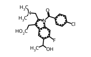 CC(O)c1cc2c(CC(=O)O)c(CN(C)C)n(C(=O)c3ccc(Cl)cc3)c2cc1F